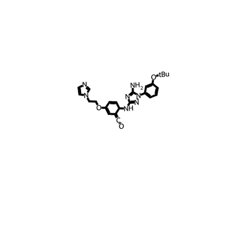 CC(C)(C)Oc1cccc(-n2nc(NC3C=CC(OCCn4ccnc4)=CC3=C=O)nc2N)c1